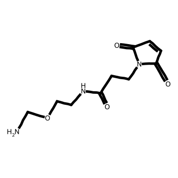 NCOCCNC(=O)CCN1C(=O)C=CC1=O